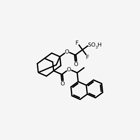 CC(OC(=O)C12CC3CC(CC(OC(=O)C(F)(F)S(=O)(=O)O)(C3)C1)C2)c1cccc2ccccc12